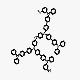 [3H]c1cccc(N(c2ccccc2)c2ccc(-c3ccc(N(c4ccc(Oc5ccc(N(c6ccc(-c7ccc(N(c8ccccc8)c8ccccc8)cc7)cc6)c6ccc(-c7ccc(N(c8ccccc8)c8cccc([3H])c8)cc7)cc6)cc5)cc4)c4ccc(-c5ccc(N(c6ccccc6)c6ccccc6)cc5)cc4)cc3)cc2)c1